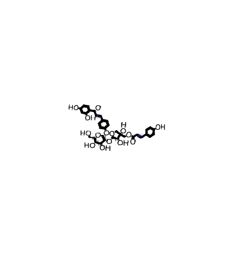 O=C(/C=C/c1ccc(O)cc1)OC[C@]1(O)CO[C@H](O[C@H]2[C@H](Oc3ccc(/C=C/C(=O)c4ccc(O)cc4O)cc3)O[C@H](CO)[C@@H](O)[C@@H]2O)[C@H]1O